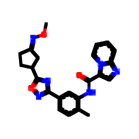 CON=C1CCC(c2nc(-c3ccc(C)c(NC(=O)c4cnc5ccccn45)c3)no2)C1